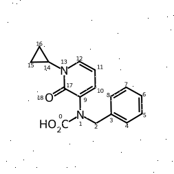 O=C(O)N(Cc1ccccc1)c1cccn(C2CC2)c1=O